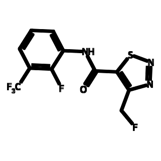 O=C(Nc1cccc(C(F)(F)F)c1F)c1snnc1CF